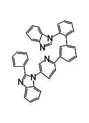 c1ccc(-c2nc3ccccc3n2-c2ccc(-c3cccc(-c4ccccc4-n4cnc5ccccc54)c3)nc2)cc1